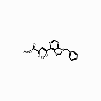 CCOC(=CC(=O)C(=O)OC)c1ncnc2c1ncn2Cc1ccccc1